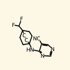 N#Cc1cncnc1NC12CCC(C(F)F)(CC1)CC2